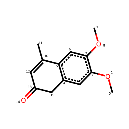 COc1cc2c(cc1OC)C(C)=CC(=O)C2